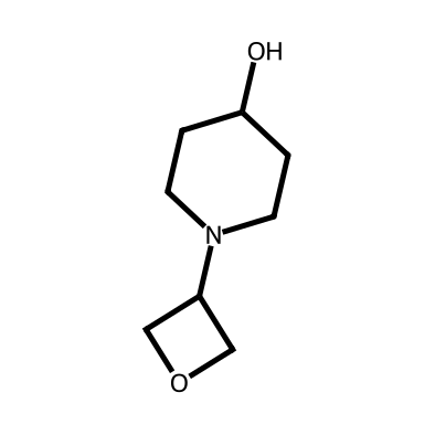 OC1CCN(C2COC2)CC1